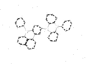 c1ccc(-c2cc(N3c4ccccc4N(c4ccccc4)c4ccccc43)ccc2N(c2ccccc2)c2ccccc2)cc1